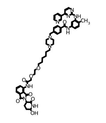 Cc1ccc(NC(=O)c2ccc(CN3CCN(CCCCCCOCCOCC(=O)Nc4cccc5c4C(=O)N(C4CCC(O)NC4=O)C5=O)CC3)cc2)cc1Nc1nccc(-c2cccnc2)n1